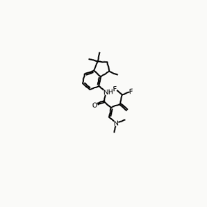 C=C(/C(=C\N(C)C)C(=O)Nc1cccc2c1C(C)CC2(C)C)C(F)F